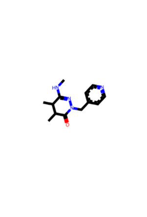 CNC1=NN(Cc2ccncc2)C(=O)C(C)C1C